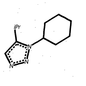 CC(C)c1cnnn1C1CCCCC1